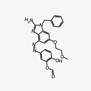 COCCOc1cc(/N=N\c2ccc(O)c(OC=O)c2)c2nc(N)n(Cc3ccccc3)c2c1